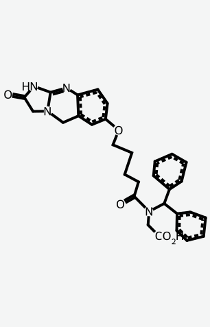 O=C(O)CN(C(=O)CCCCOc1ccc2c(c1)CN1CC(=O)NC1=N2)C(c1ccccc1)c1ccccc1